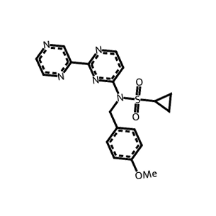 COc1ccc(CN(c2ccnc(-c3cnccn3)n2)S(=O)(=O)C2CC2)cc1